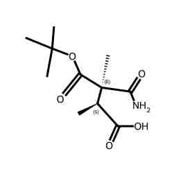 C[C@H](C(=O)O)[C@](C)(C(N)=O)C(=O)OC(C)(C)C